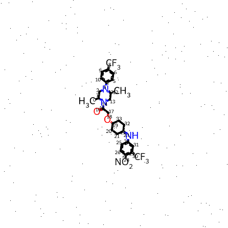 CC1CN(c2ccc(C(F)(F)F)cc2)[C@@H](C)CN1C(=O)COC1CCC(Nc2ccc([N+](=O)[O-])c(C(F)(F)F)c2)CC1